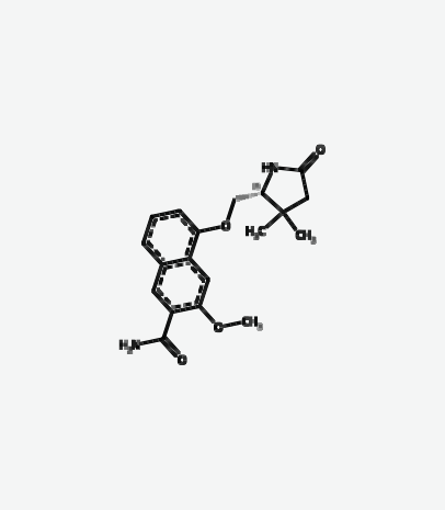 COc1cc2c(OC[C@@H]3NC(=O)CC3(C)C)cccc2cc1C(N)=O